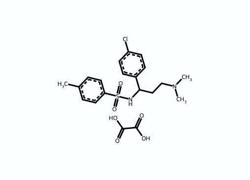 Cc1ccc(S(=O)(=O)NC(CCN(C)C)c2ccc(Cl)cc2)cc1.O=C(O)C(=O)O